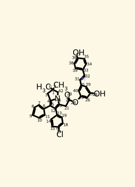 CC1(C)Cc2c(-c3ccccc3)c(-c3ccc(Cl)cc3)c(CC(=O)Oc3cc(O)cc(/C=C/c4ccc(O)cc4)c3)n2C1